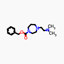 CN(C)CCN1CCCN(C(=O)OCc2ccccc2)CC1